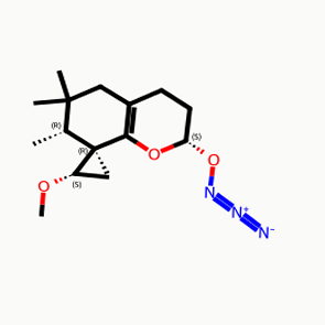 CO[C@H]1C[C@]12C1=C(CC[C@H](ON=[N+]=[N-])O1)CC(C)(C)[C@H]2C